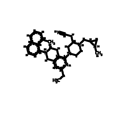 CCc1nc2c(c(N3CCN(CC4CN4C)C(CC#N)C3)n1)CCN(c1cccc3cccc(C)c13)C2